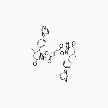 CC1CC(=O)NN(OC(=O)/C=C/C(=O)ON2NC(=O)CC(C)C2c2ccc(-n3ccnc3)cc2)C1c1ccc(-n2ccnc2)cc1